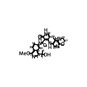 COc1ncc(C(C)(C)O)c2cc(NC(=O)c3c(Nc4cnc5c(c4C)NCCO5)cc[nH]c3=O)ccc12